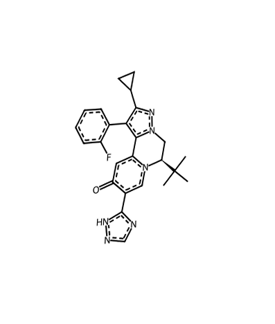 CC(C)(C)[C@@H]1Cn2nc(C3CC3)c(-c3ccccc3F)c2-c2cc(=O)c(-c3ncn[nH]3)cn21